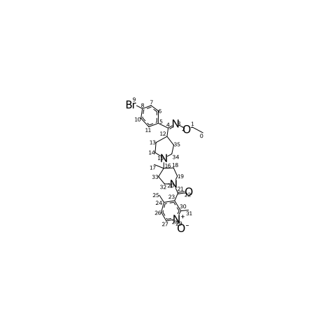 CCON=C(c1ccc(Br)cc1)C1CCN(C2(C)CCN(C(=O)c3c(C)cc[n+]([O-])c3C)CC2)CC1